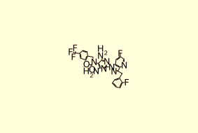 COC(=O)N(Cc1ccc(C(F)(F)F)cc1)c1c(N)nc(-n2nc(Cc3ccccc3F)c3ncc(F)cc32)nc1N